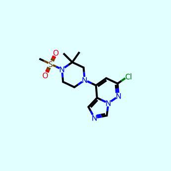 CC1(C)CN(c2cc(Cl)nn3cncc23)CCN1S(C)(=O)=O